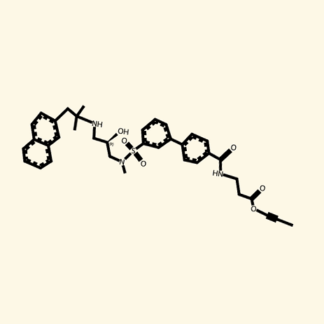 CC#COC(=O)CCNC(=O)c1ccc(-c2cccc(S(=O)(=O)N(C)C[C@H](O)CNC(C)(C)Cc3ccc4ccccc4c3)c2)cc1